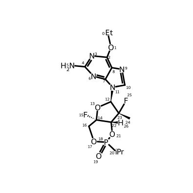 CCOc1nc(N)nc2c1ncn2[C@@H]1O[C@]2(F)COP(=O)(C(C)C)O[C@H]2[C@@]1(C)F